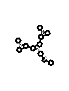 c1ccc(-c2ccc(-c3ccc(-n4c5ccc(-c6ccc7c(c6)c6ccccc6n7-c6ccccc6)cc5c5cc(-c6ccc7c(c6)c6ccccc6n7-c6ccccc6)ccc54)cc3)o2)cc1